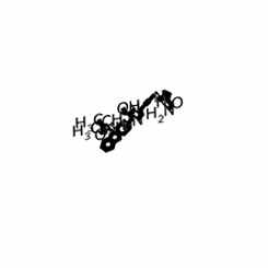 CC(C)(C)[S+]([O-])N[C@@H]1c2ccccc2CC12CCN(c1ncc(C#CCn3ccc(C(N)=O)n3)nc1CO)CC2